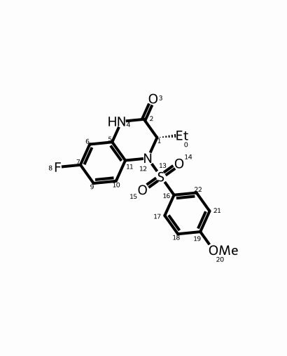 CC[C@H]1C(=O)Nc2cc(F)ccc2N1S(=O)(=O)c1ccc(OC)cc1